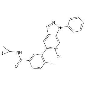 Cc1ccc(C(=O)NC2CC2)cc1-c1cc2cnn(-c3ccccc3)c2c[n+]1[O-]